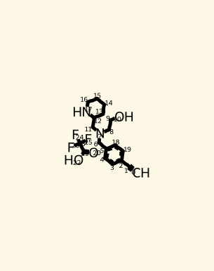 C#Cc1ccc(CN(CCO)CC2CCCCN2)cc1.O=C(O)C(F)(F)F